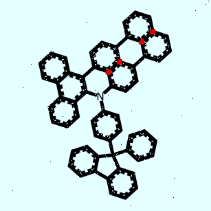 c1ccc(-c2ccc(-c3c(N(c4ccc(-c5ccccc5)cc4)c4ccc(C5(c6ccccc6)c6ccccc6-c6ccccc65)cc4)c4ccccc4c4ccccc34)cc2)cc1